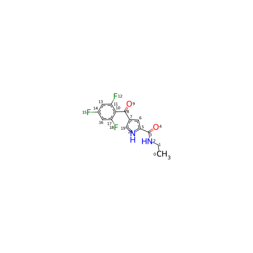 CCNC(=O)c1cc(C(=O)c2c(F)cc(F)cc2F)c[nH]1